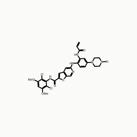 C=CC(=O)Nc1cc(N2CCN(CC)CC2)ccc1Nc1cc2cc(C(=O)Nc3c(Cl)c(OC)cc(OC)c3Cl)oc2cn1